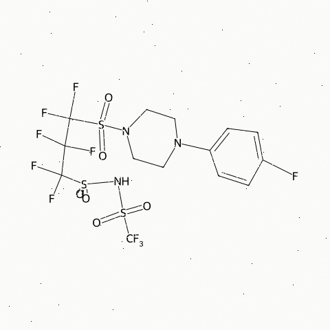 O=S(=O)(NS(=O)(=O)C(F)(F)C(F)(F)C(F)(F)S(=O)(=O)N1CCN(c2ccc(F)cc2)CC1)C(F)(F)F